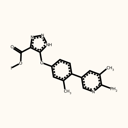 Cc1cc(Oc2[nH]nnc2C(=O)OI)ccc1-c1cnc(P)c(C)c1